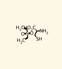 C=CS(=O)(=O)C=C.N[C@@H](CS)C(=O)O